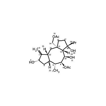 C=C1[C@@H](O)C[C@H]2[C@@H](C)[C@H](OC(C)=O)[C@H](O)[C@@H]3[C@](COC(C)=O)(CC[C@@]3(O)C(C)C)C[C@@H]12